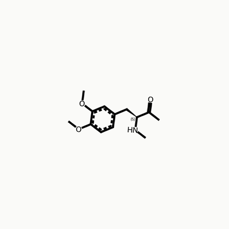 CN[C@@H](Cc1ccc(OC)c(OC)c1)C(C)=O